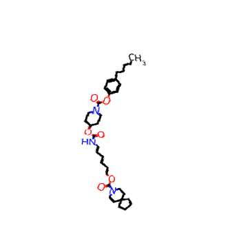 CCCCCc1ccc(OC(=O)N2CCC(OC(=O)NCCCCCCOC(=O)N3CCC4(CCCC4)CC3)CC2)cc1